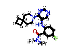 CC(C)N(C(=O)c1cc(F)ccc1Nc1cncnc1N1CCC2(CCC2)CC1)C(C)C